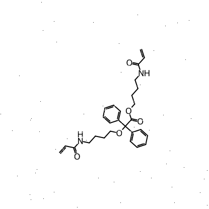 C=CC(=O)NCCCCOC(=O)C(OCCCCNC(=O)C=C)(c1ccccc1)c1ccccc1